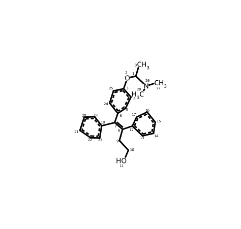 CC(Oc1ccc(C(=C(CCO)c2ccccc2)c2ccccc2)cc1)N(C)C